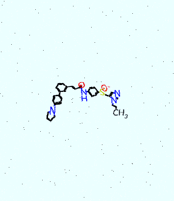 CCCn1cncc1C[S+]([O-])c1ccc(NC(=O)/C=C/c2cccc(-c3ccc(N4CCCC4)cc3)c2)cc1